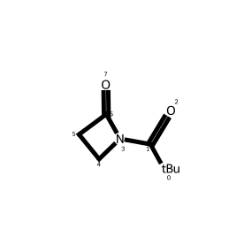 CC(C)(C)C(=O)N1CCC1=O